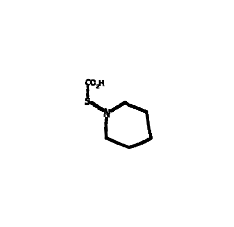 O=C(O)SN1CCCCC1